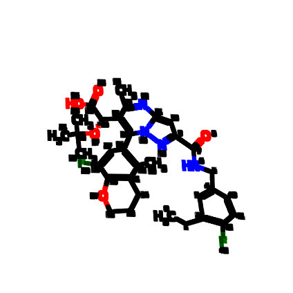 CCc1cc(CNC(=O)c2cc3nc(C)c([C@H](OC(C)(C)C)C(=O)O)c(-c4cc(F)c5c(c4C)CCCO5)n3n2)ccc1F